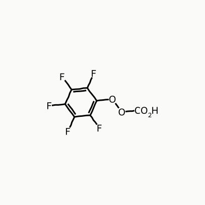 O=C(O)OOc1c(F)c(F)c(F)c(F)c1F